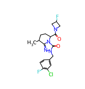 CC1CCC(C(=O)N2CC(F)C2)n2c1nn(Cc1ccc(F)c(Cl)c1)c2=O